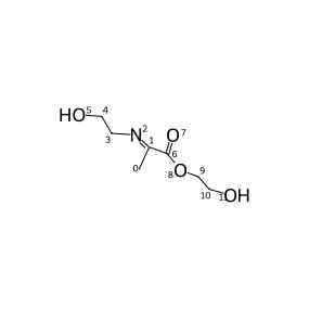 C/C(=N\CCO)C(=O)OCCO